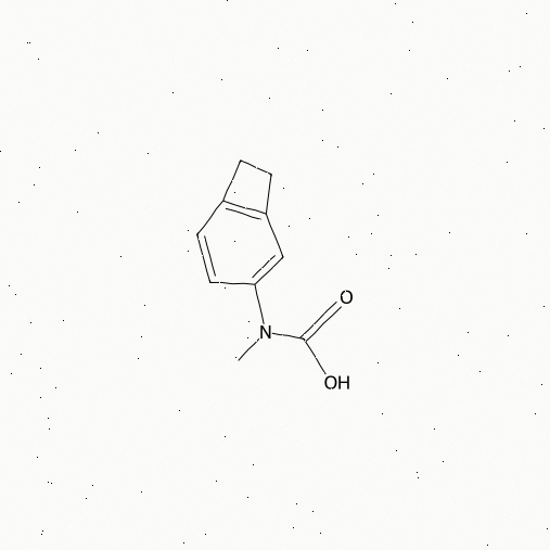 CN(C(=O)O)c1ccc2c(c1)CC2